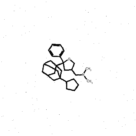 CN(C)CC1COC(c2ccccc2)(C23CC4CC(CC(C5CCCC5)(C4)C2)C3)C1